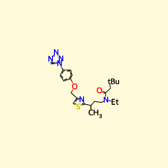 CCN(CCC(C)c1nc(COc2ccc(-n3cnnn3)cc2)cs1)C(=O)CC(C)(C)C